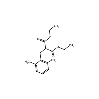 CCOC(=O)C(Cc1c(C)cccc1C)C(=O)OCC